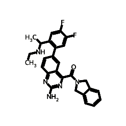 CCNC(C)c1cc(F)c(F)cc1-c1ccc2nc(N)nc(C(=O)N3Cc4ccccc4C3)c2c1